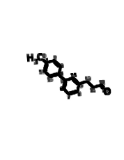 Cc1ccc(-c2cccc(CCC=O)c2)cc1